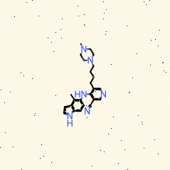 Cc1c(Nc2c(C#N)cncc2CCCCN2CCN(C)CC2)ccc2[nH]ccc12